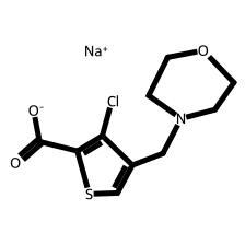 O=C([O-])c1scc(CN2CCOCC2)c1Cl.[Na+]